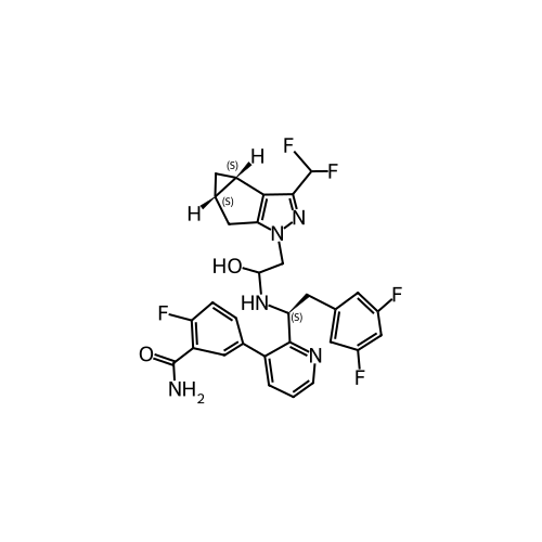 NC(=O)c1cc(-c2cccnc2[C@H](Cc2cc(F)cc(F)c2)NC(O)Cn2nc(C(F)F)c3c2C[C@@H]2C[C@H]32)ccc1F